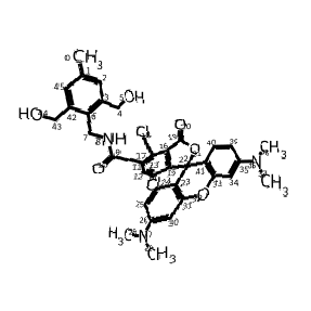 Cc1cc(CO)c(CNC(=O)c2cc(Cl)c3c(c2Cl)C(=O)OC32c3ccc(N(C)C)cc3Oc3cc(N(C)C)ccc32)c(CO)c1